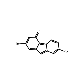 O=C1C=C(Br)C=C2C=c3cc(Br)ccc3=C12